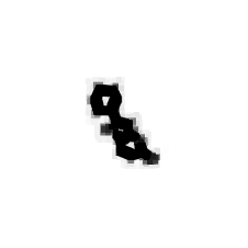 Brc1ccc2[nH]c(-c3ccccc3)cc2n1